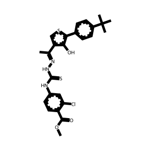 COC(=O)c1ccc(NC(=S)N/N=C(\C)c2csc(-c3ccc(C(C)(C)C)cc3)c2O)cc1Cl